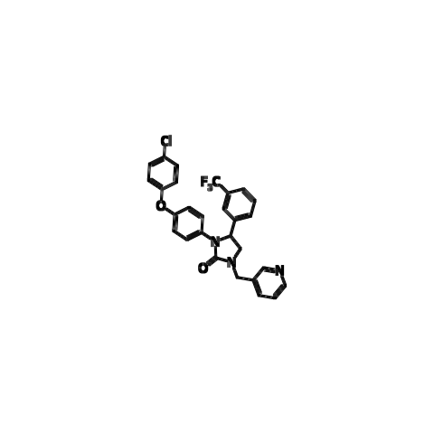 O=C1N(Cc2cccnc2)CC(c2cccc(C(F)(F)F)c2)N1c1ccc(Oc2ccc(Cl)cc2)cc1